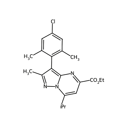 CCOC(=O)c1cc(C(C)C)n2nc(C)c(-c3c(C)cc(Cl)cc3C)c2n1